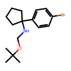 CC(C)(C)OCNC1(c2ccc(Br)cc2)CCCC1